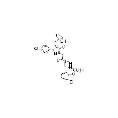 O=C(O)NC(CNC(=O)Cn1nc(-c2ccc(Cl)cc2)n(C[C@H](O)C(F)(F)F)c1=O)c1cccc(Cl)c1Cl